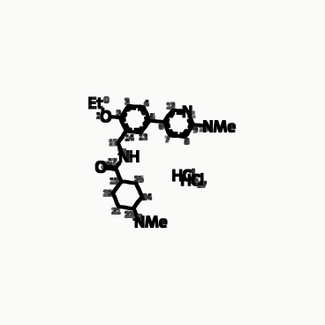 CCOc1ccc(-c2ccc(NC)nc2)cc1CNC(=O)C1CCC(NC)CC1.Cl.Cl